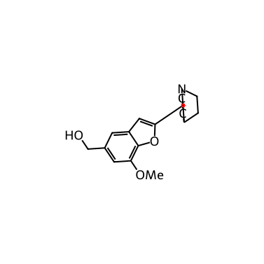 COc1cc(CO)cc2cc(C3=CN4CCC3CC4)oc12